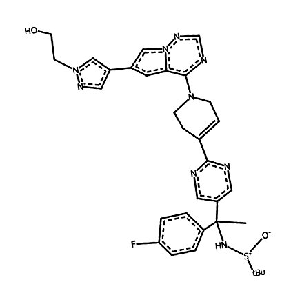 CC(N[S+]([O-])C(C)(C)C)(c1ccc(F)cc1)c1cnc(C2=CCN(c3ncnn4cc(-c5cnn(CCO)c5)cc34)CC2)nc1